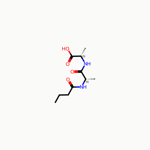 CCCC(=O)N[C@@H](C)C(=O)N[C@@H](C)C(=O)O